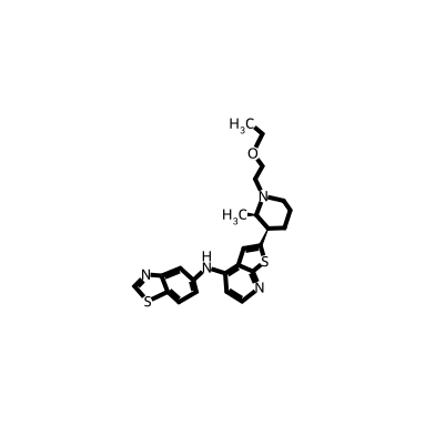 CCOCCN1CCC[C@@H](c2cc3c(Nc4ccc5scnc5c4)ccnc3s2)[C@H]1C